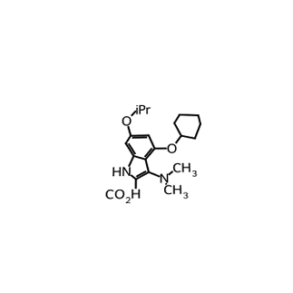 CC(C)Oc1cc(OC2CCCCC2)c2c(N(C)C)c(C(=O)O)[nH]c2c1